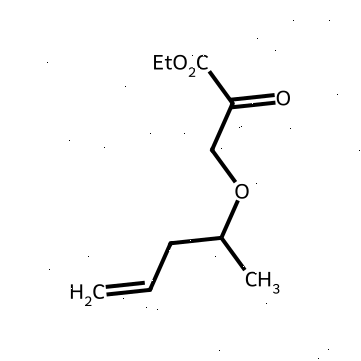 C=CCC(C)OCC(=O)C(=O)OCC